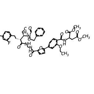 CCOc1cc(-c2ccc(C(=O)NCNC(=O)[C@H](CCc3ccc(F)cc3F)[C@@H](CC)N(C=O)OCc3ccccc3)o2)ccc1C(=O)NC(CC(=O)OC)C(=O)OC